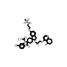 COC(=O)C1(N(C(=O)C(F)(F)F)c2cccc(Cl)c2)CCC2(CC1)c1cc(OCCNS(C)(=O)=O)ccc1C[C@@H]2C[C@@H](C)COc1ccnc2c1[C@H](C)CCC2